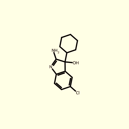 NC1=Nc2ccc(Cl)cc2C1(O)C1CCCCC1